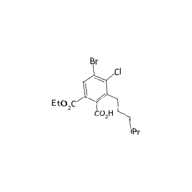 CCOC(=O)c1cc(Br)c(Cl)c(CCCC(C)C)c1C(=O)O